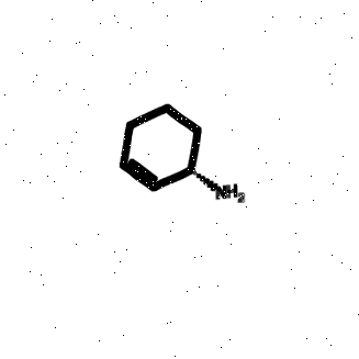 N[C@@H]1C=CCCC1